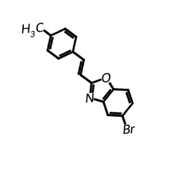 Cc1ccc(/C=C/c2nc3cc(Br)ccc3o2)cc1